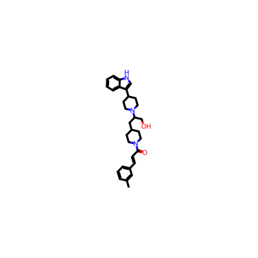 Cc1cccc(/C=C/C(=O)N2CCC(CC(CO)N3CCC(c4c[nH]c5ccccc45)CC3)CC2)c1